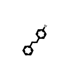 Brc1ccc(C[CH]c2ccccc2)cc1